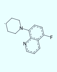 Fc1ccc(N2CC[CH]CC2)c2ncccc12